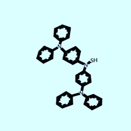 SN(c1ccc(N(c2ccccc2)c2ccccc2)cc1)c1ccc(N(c2ccccc2)c2ccccc2)cc1